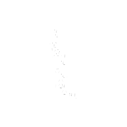 CN1CCN(CCC(=O)Nc2ccc3c(=O)n(CC4(O)CCN(C(=O)C(CCCNC(=O)c5ccc6c(Cl)cc(-c7cccc(CN)c7)nc6c5)Cc5ccccc5)CC4)cnc3c2)CC1